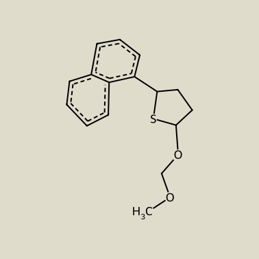 COCOC1CCC(c2cccc3ccccc23)S1